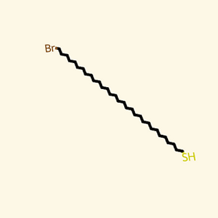 SCCCCCCCCCCCCCCCCCCCCCCCCCCCCCCCBr